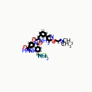 CN(C)CCCOc1ccc(-c2cccc(C[C@H](N)C(=O)N(c3ccc4c(=O)[nH][nH]c4c3)C(=O)[C@H]3CC[C@H](CN)CC3)c2)cn1.Cl